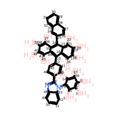 Bc1c(B)c(B)c(-n2c(-c3ccc(-c4c5c(B)c(B)c(B)c(B)c5c(-c5ccc6ccccc6c5)c5c(B)c(B)c(B)c(B)c45)cc3)nc3ccccc32)c(B)c1B